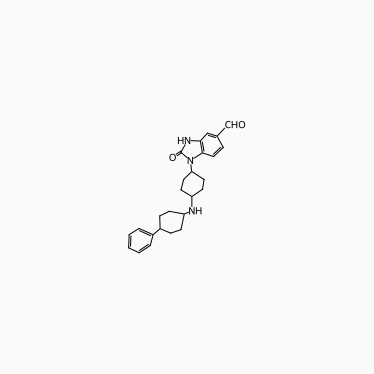 O=Cc1ccc2c(c1)[nH]c(=O)n2C1CCC(NC2CCC(c3ccccc3)CC2)CC1